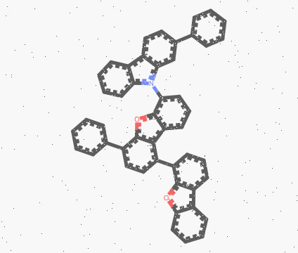 c1ccc(-c2ccc3c4ccccc4n(-c4cccc5c4oc4c(-c6ccccc6)ccc(-c6cccc7c6oc6ccccc67)c45)c3c2)cc1